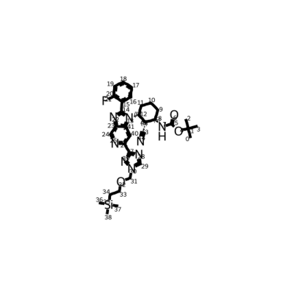 CC(C)(C)OC(=O)N[C@H]1CCC[C@@H](n2c(-c3ccccc3F)nc3cnc(-c4ncn(COCC[Si](C)(C)C)n4)cc32)[C@H]1C#N